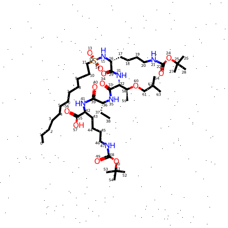 CCCCCCCCCCCCS(=O)(=O)N[C@H](CCCCNC(=O)OC(C)(C)C)C(=O)N[C@@H](C(=O)N[C@H](CC)C(=O)NC(CCCCNC(=O)OC(C)(C)C)C(=O)O)[C@H](C)OCC(C)C